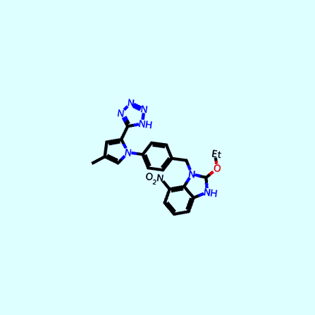 CCOC1Nc2cccc([N+](=O)[O-])c2N1Cc1ccc(-n2cc(C)cc2-c2nnn[nH]2)cc1